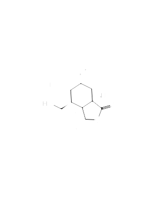 CC(=O)O[C@@H]1C[C@H]2C(=O)O[C@H](C)[C@H]2[C@@H](CO)[C@@H]1C